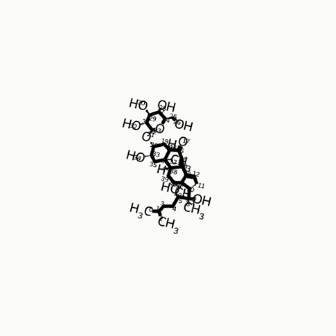 CC(C)CC[C@@H](O)[C@](C)(O)[C@H]1CC=C2C3=CC(=O)[C@@H]4C[C@@H](O[C@@H]5O[C@H](CO)[C@@H](O)[C@H](O)[C@H]5O)[C@@H](O)C[C@]4(C)[C@H]3CC[C@@]21C